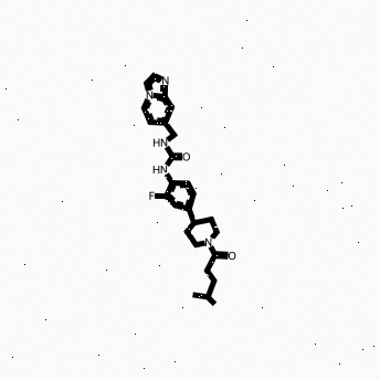 CC(C)CCC(=O)N1CCC(c2ccc(NC(=O)NCc3ccn4ccnc4c3)c(F)c2)CC1